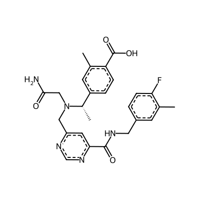 Cc1cc(CNC(=O)c2cc(CN(CC(N)=O)[C@@H](C)c3ccc(C(=O)O)c(C)c3)ncn2)ccc1F